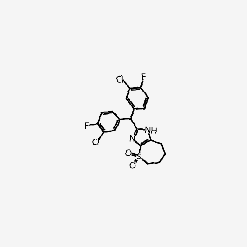 O=S1(=O)CCCCc2[nH]c(C(c3ccc(F)c(Cl)c3)c3ccc(F)c(Cl)c3)nc21